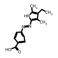 CCc1c(C)[nH]c(/N=N/c2ccc(C(=O)O)cc2)c1C